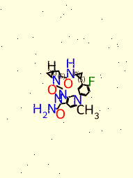 Cc1cc2c(C(N)=O)nn(CC(=O)N3C4C[C@@H]4C[C@H]3C(=O)N[C@@H]3C[C@H]3c3ccccc3F)c2cn1